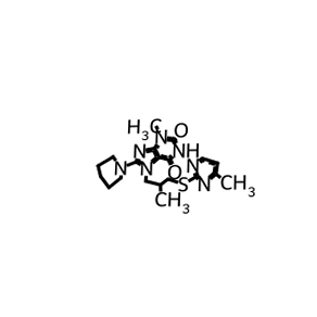 Cc1ccnc(SCC(C)Cn2c(N3CCCCC3)nc3c2c(=O)[nH]c(=O)n3C)n1